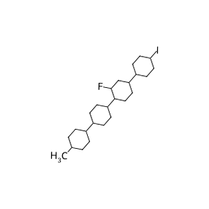 CC1CCC(C2CCC(C3CCC(C4CCC(I)CC4)CC3F)CC2)CC1